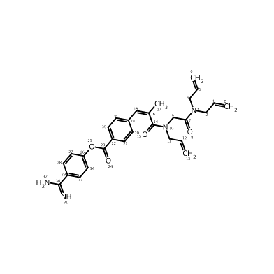 C=CCN(CC=C)C(=O)CN(CC=C)C(=O)C(C)=Cc1ccc(C(=O)Oc2ccc(C(=N)N)cc2)cc1